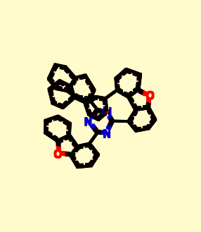 c1ccc(-c2cccc(-c3cccc4oc5cccc(-c6nc(-c7ccc8ccccc8c7)nc(-c7cccc8oc9ccccc9c78)n6)c5c34)c2)cc1